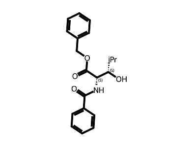 CC(C)[C@H](O)[C@H](NC(=O)c1ccccc1)C(=O)OCc1ccccc1